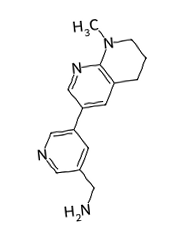 CN1CCCc2cc(-c3cncc(CN)c3)cnc21